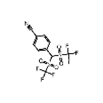 N#Cc1ccc(C(S(=O)(=O)C(F)(F)F)S(=O)(=O)C(F)(F)F)cc1